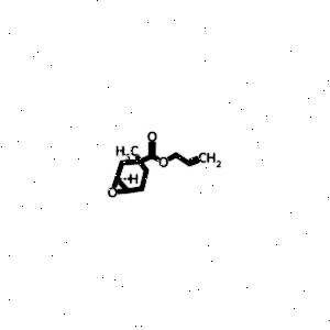 C=CCOC(=O)C1(C)CCC2O[C@H]2C1